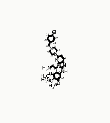 COc1cc(Nc2nc3ccc(N4CCN(Cc5ccc(Cl)cc5)CC4)nc3n2CCN)cc(OC)c1OC